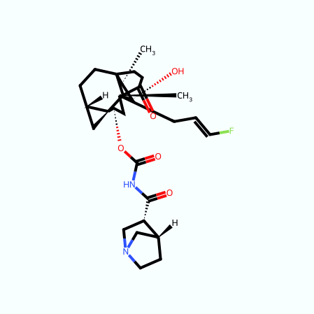 C[C@H]1[C@H](O)[C@](C)(CC=CF)C[C@@H](OC(=O)NC(=O)[C@H]2CN3CC[C@@H]2C3)[C@]23C[C@@H]2CCC12CCC(=O)C23